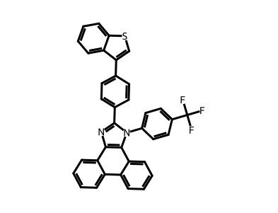 FC(F)(F)c1ccc(-n2c(-c3ccc(-c4csc5ccccc45)cc3)nc3c4ccccc4c4ccccc4c32)cc1